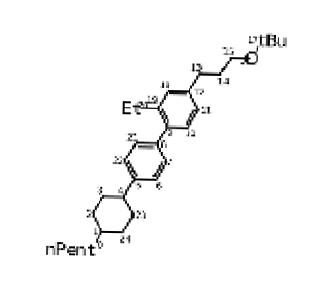 CCCCCC1CCC(c2ccc(-c3ccc(CCCOC(C)(C)C)cc3CC)cc2)CC1